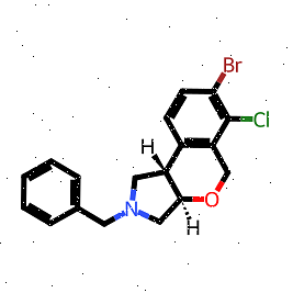 Clc1c(Br)ccc2c1CO[C@H]1CN(Cc3ccccc3)C[C@H]21